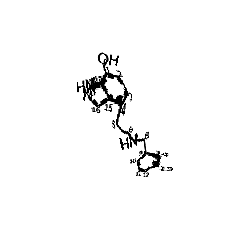 Oc1ccc(CCNCc2ccccc2)c2cn[nH]c12